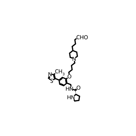 Cc1ncsc1-c1ccc(CNC(=O)[C@@H]2CCCN2)c(OCCCCN2CCC(CCCC=O)CC2)c1